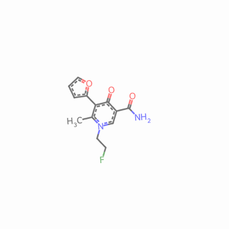 Cc1c(-c2ccco2)c(=O)c(C(N)=O)cn1CCF